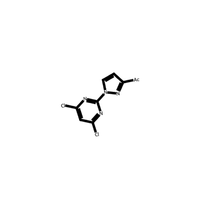 CC(=O)c1ccn(-c2nc(Cl)cc(Cl)n2)n1